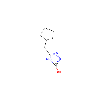 Oc1nnc(CC2CCCC2)[nH]1